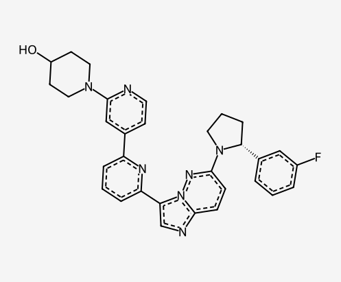 OC1CCN(c2cc(-c3cccc(-c4cnc5ccc(N6CCC[C@@H]6c6cccc(F)c6)nn45)n3)ccn2)CC1